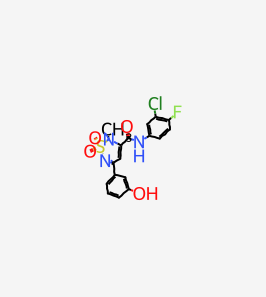 CN1C(C(=O)Nc2ccc(F)c(Cl)c2)=CC(c2cccc(O)c2)=NS1(=O)=O